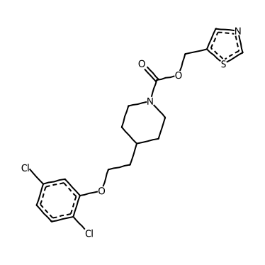 O=C(OCc1cncs1)N1CCC(CCOc2cc(Cl)ccc2Cl)CC1